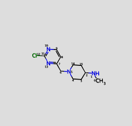 CNC1CCN(Cc2ccnc(Cl)n2)CC1